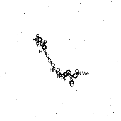 CNC(=O)N1CCc2c(c(N3CCCc4cc(-c5cnn(CC(=O)NCCOCCOCCOCCNc6ccc7c(c6)C(=O)N(C6CCC(=O)NC6=O)C7=O)c5)c(C(F)F)cc43)nn2C2CCOCC2)C1